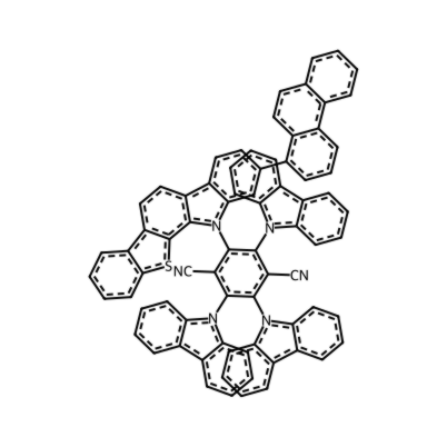 N#Cc1c(-n2c3ccccc3c3ccccc32)c(-n2c3ccccc3c3ccccc32)c(C#N)c(-n2c3cc(-c4cccc5c4ccc4ccccc45)ccc3c3ccc4c5ccccc5sc4c32)c1-n1c2ccccc2c2ccccc21